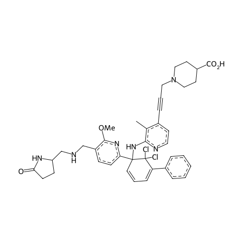 COc1nc(C2(Nc3nccc(C#CCN4CCC(C(=O)O)CC4)c3C)C=CC=C(c3ccccc3)C2(Cl)Cl)ccc1CNCC1CCC(=O)N1